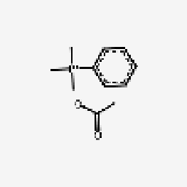 CC(=O)[O-].C[P+](C)(C)c1ccccc1